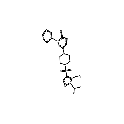 Cc1c(S(=O)(=O)N2CCN(c3ccc(=O)n(-c4ccccc4)n3)CC2)cnn1C(F)F